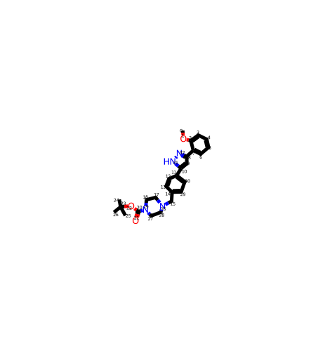 COc1ccccc1-c1cc(-c2ccc(CN3CCN(C(=O)OC(C)(C)C)CC3)cc2)[nH]n1